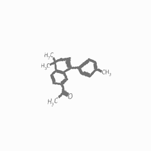 CC(=O)c1ccc2c(c1)C(c1ccc(C)cc1)=CCC2(C)C